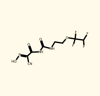 N#C/C(=N\O)C(=O)NC(=O)NCCOC(F)(F)C(F)F